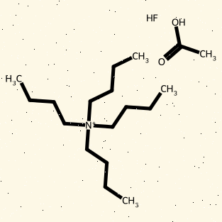 CC(=O)O.CCCC[N+](CCCC)(CCCC)CCCC.F